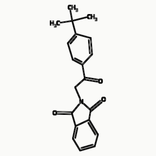 CC(C)(C)c1ccc(C(=O)CN2C(=O)c3ccccc3C2=O)cc1